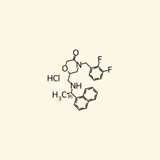 C[C@@H](NCC1CN(Cc2cccc(F)c2F)C(=O)CO1)c1cccc2ccccc12.Cl